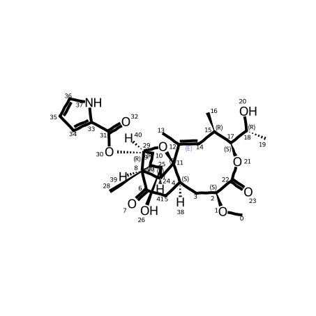 CO[C@H]1C[C@H]2CC(=O)[C@H]3[C@H]4O[C@]2(/C(C)=C/[C@@H](C)[C@@H]([C@@H](C)O)OC1=O)[C@@H]3[C@H](O)[C@@H](C)[C@H]4OC(=O)c1ccc[nH]1